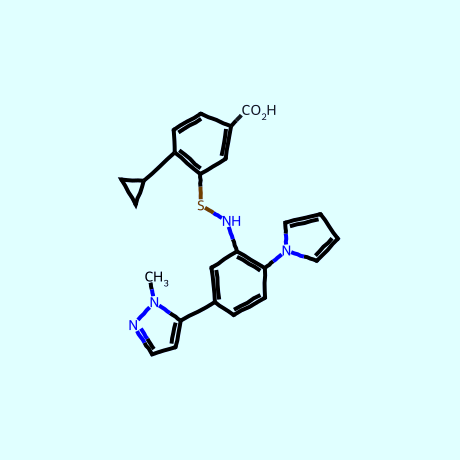 Cn1nccc1-c1ccc(-n2cccc2)c(NSc2cc(C(=O)O)ccc2C2CC2)c1